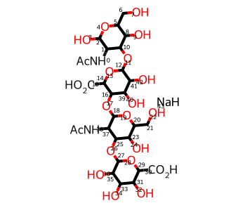 CC(=O)NC1C(O)OC(CO)C(O)C1OC1OC(C(=O)O)C(OC2OC(CO)C(O)C(OC3OC(C(=O)O)C(O)C(O)C3O)C2NC(C)=O)C(O)C1O.[NaH]